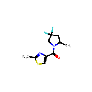 CC1CC(F)(F)CN1C(=O)c1csc(C(=O)O)n1